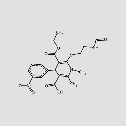 CCOC(=O)C1=C(SCCNC=O)N(C)C(C)=C(C(C)=O)C1c1cccc([N+](=O)[O-])c1